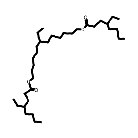 CCCCC(CC)CCC(=O)OCCCCCCC(CC)CCCCCCOC(=O)CCC(CC)CCCC